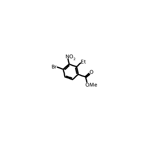 CCc1c(C(=O)OC)ccc(Br)c1[N+](=O)[O-]